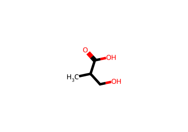 C[C](CO)C(=O)O